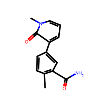 Cc1ccc(-c2cccn(C)c2=O)cc1C(N)=O